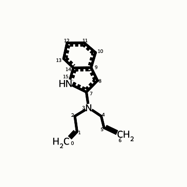 C=CCN(CC=C)c1cc2ccccc2[nH]1